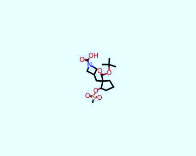 CC(C)(C)OC(=O)C1(CC2CN(C(=O)O)C2)CCCC1OS(C)(=O)=O